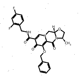 C[C@@H]1CO[C@H]2Cn3cc(C(=O)NCc4ccc(F)cc4F)c(=O)c(OCc4ccccc4)c3C(=O)N12